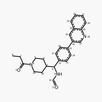 CCC(=O)N1CCC(C(NC=O)c2ccc(-c3cnc4ccccc4c3)cc2)CC1